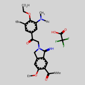 CCOc1cc2c(cc1C(=O)NC)C(=N)N(CC(=O)c1cc(N(C)C(C)=O)c(OCC(=O)O)c(C(C)(C)C)c1)C2.O=C(O)C(F)(F)F